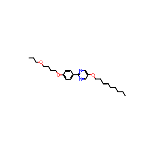 CCCCCC=CCCOc1cnc(-c2ccc(OCCCCOCCC)cc2)nc1